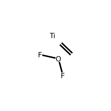 C=C.FOF.[Ti]